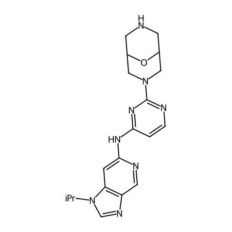 CC(C)n1cnc2cnc(Nc3ccnc(N4CC5CNCC(C4)O5)n3)cc21